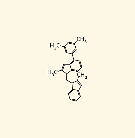 CC1=Cc2ccccc2C1CC1C(C)=Cc2c(-c3cc(C)cc(C)c3)cccc21